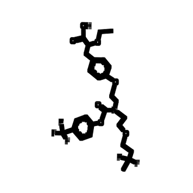 CCOC(Cc1ccc(OCCN(CCOCCC(C)(F)F)C(=O)Oc2ccc(C(F)(F)F)cc2)cc1)C(=O)O